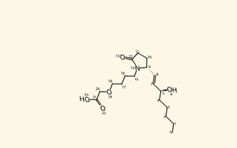 CCCCC[C@H](O)C=C[C@H]1CCC(=O)N1CCCCOCC(=O)O